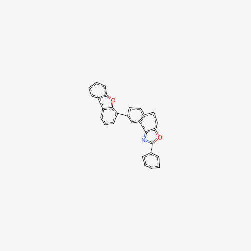 c1ccc(-c2nc3c(ccc4ccc(-c5cccc6c5oc5ccccc56)cc43)o2)cc1